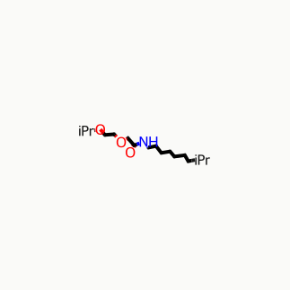 CC(C)CCCCCCCNC(=O)COCCOC(C)C